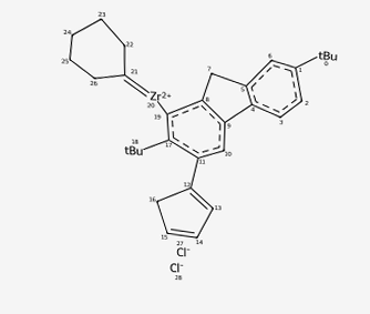 CC(C)(C)c1ccc2c(c1)Cc1c-2cc(C2=CC=CC2)c(C(C)(C)C)[c]1[Zr+2]=[C]1CCCCC1.[Cl-].[Cl-]